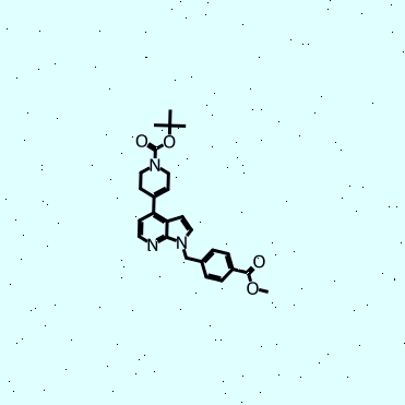 COC(=O)c1ccc(Cn2ccc3c(C4=CCN(C(=O)OC(C)(C)C)CC4)ccnc32)cc1